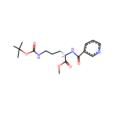 COC(=O)[C@H](CCCNC(=O)OC(C)(C)C)NC(=O)c1cccnc1